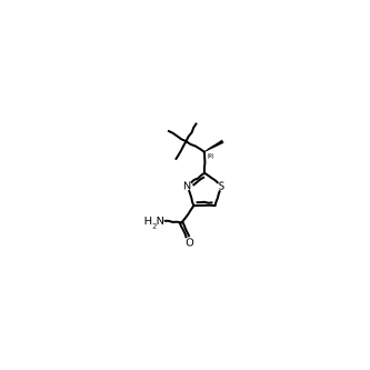 C[C@@H](c1nc(C(N)=O)cs1)C(C)(C)C